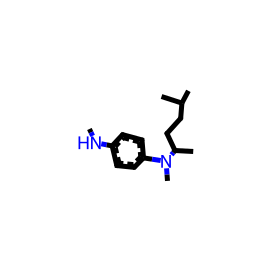 CNc1ccc(N(C)C(C)CCC(C)C)cc1